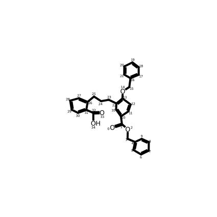 O=C(OCc1ccccc1)c1ccc(OCc2ccccc2)c(CCCc2ccccc2C(=O)O)c1